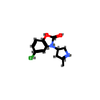 CC1=NCC(n2c(=O)oc3ccc(Cl)cc32)C1